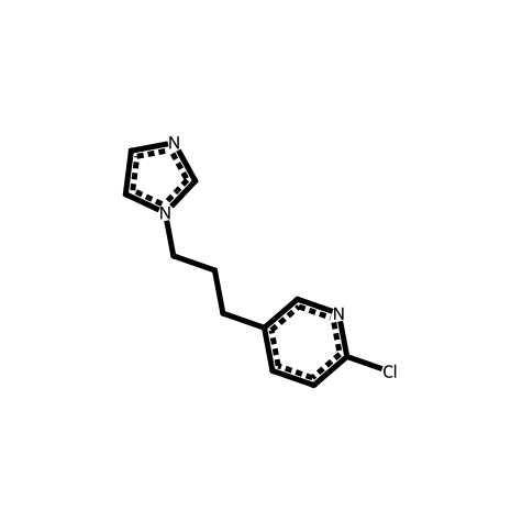 Clc1ccc(CCCn2ccnc2)cn1